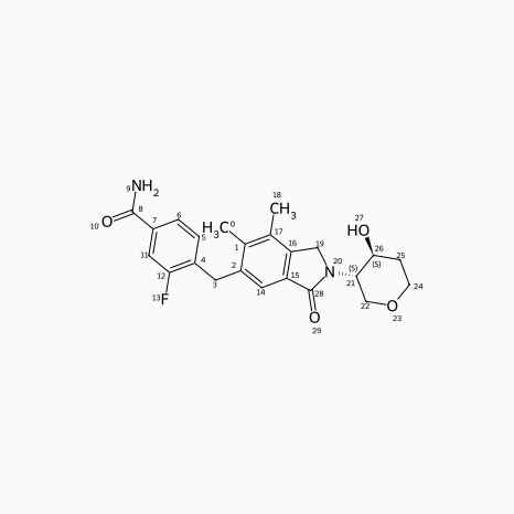 Cc1c(Cc2ccc(C(N)=O)cc2F)cc2c(c1C)CN([C@H]1COCC[C@@H]1O)C2=O